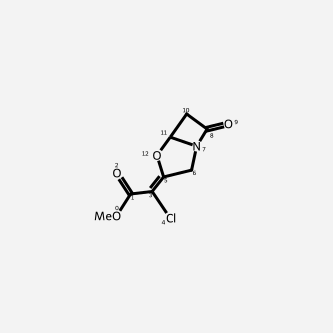 COC(=O)C(Cl)=C1CN2C(=O)CC2O1